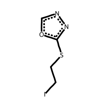 ICCSc1nnco1